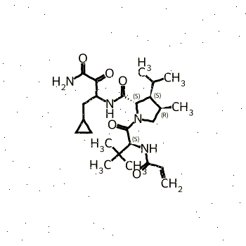 C=CC(=O)N[C@H](C(=O)N1C[C@H](C)[C@H](C(C)C)[C@H]1C(=O)NC(CC1CC1)C(=O)C(N)=O)C(C)(C)C